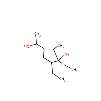 CCC(CCC(C)O)C(O)(CC)CC